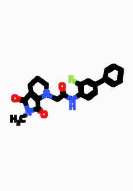 CN1C(=O)C2=C(C1=O)N(CC(=O)Nc1ccc(-c3ccccc3)cc1F)CCC2